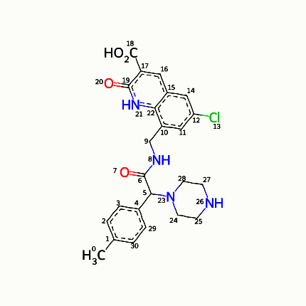 Cc1ccc(C(C(=O)NCc2cc(Cl)cc3cc(C(=O)O)c(=O)[nH]c23)N2CCNCC2)cc1